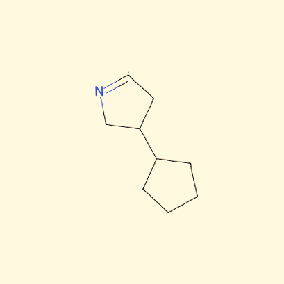 [C]1=NCC(C2CCCC2)C1